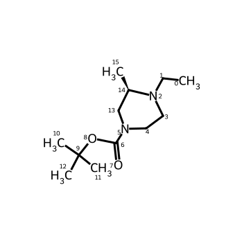 CCN1CCN(C(=O)OC(C)(C)C)C[C@H]1C